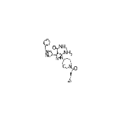 NC(=O)c1c(-c2cnn(Cc3ccccc3)c2)nn(C2CCCN(C(=O)C#CC3CC3)CCC2)c1N